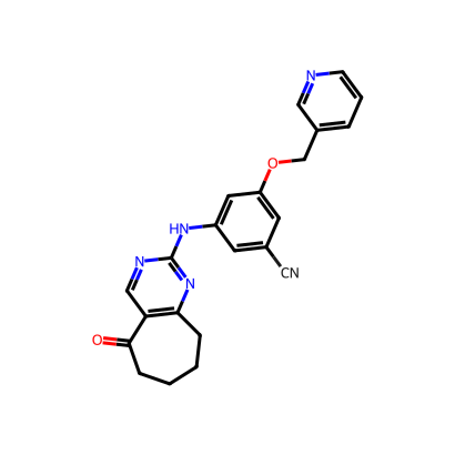 N#Cc1cc(Nc2ncc3c(n2)CCCCC3=O)cc(OCc2cccnc2)c1